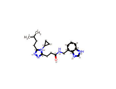 CC(C)CCc1nnc(CCC(=O)NCc2cccc3[nH]cnc23)n1C1CC1